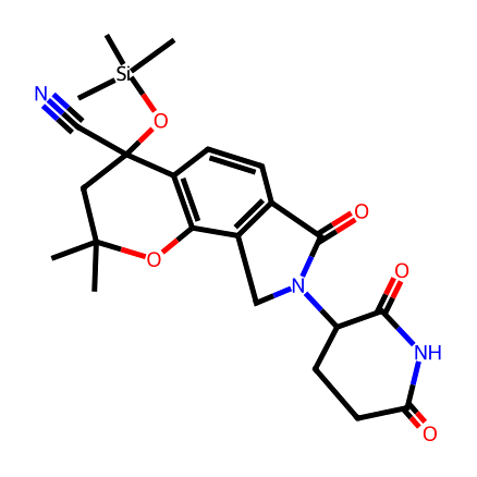 CC1(C)CC(C#N)(O[Si](C)(C)C)c2ccc3c(c2O1)CN(C1CCC(=O)NC1=O)C3=O